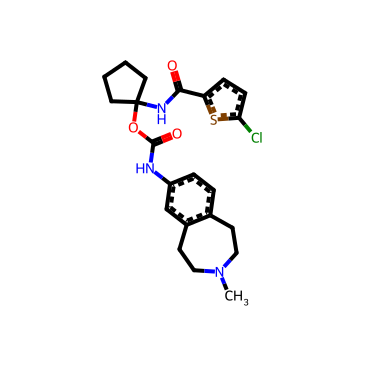 CN1CCc2ccc(NC(=O)OC3(NC(=O)c4ccc(Cl)s4)CCCC3)cc2CC1